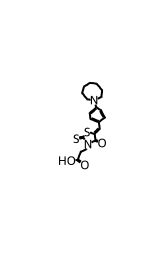 O=C(O)CCN1C(=O)C(=Cc2ccc(N3CCCCCCC3)cc2)SC1=S